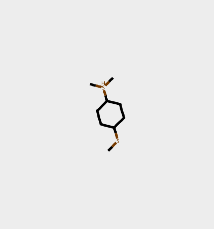 CSC1CCC([SH](C)C)CC1